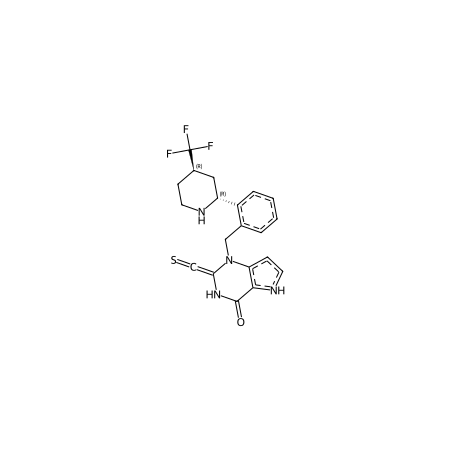 O=C1NC(=C=S)N(Cc2ccccc2[C@H]2C[C@H](C(F)(F)F)CCN2)c2cc[nH]c21